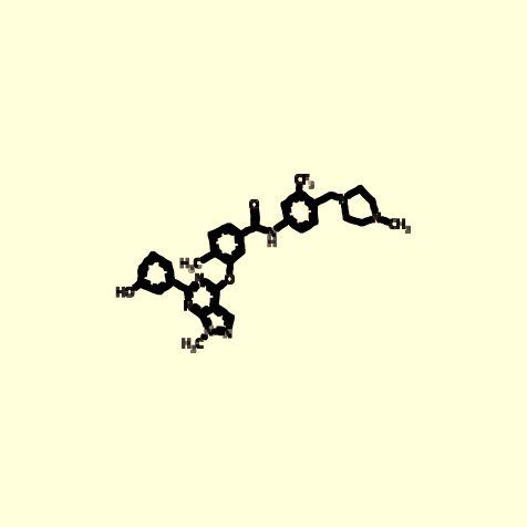 Cc1ccc(C(=O)Nc2ccc(CN3CCN(C)CC3)c(C(F)(F)F)c2)cc1Oc1nc(-c2cccc(O)c2)nc2c1cnn2C